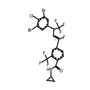 O=C(NC1CC1)c1ccc(/C(F)=C/C(c2cc(Br)c(Cl)c(Br)c2)C(F)(F)F)cc1C(F)(F)F